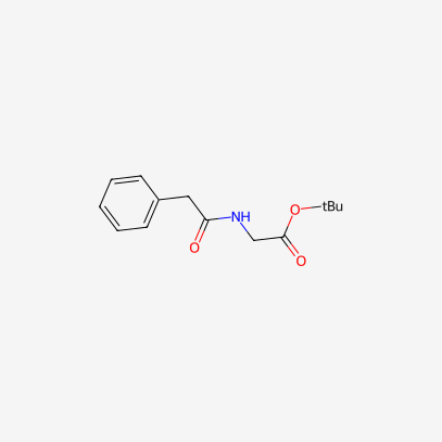 CC(C)(C)OC(=O)CNC(=O)Cc1ccccc1